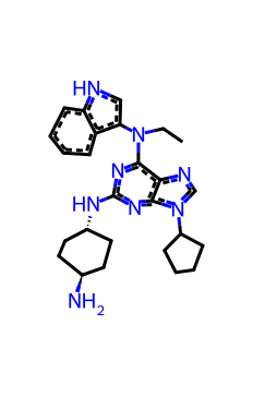 CCN(c1c[nH]c2ccccc12)c1nc(N[C@H]2CC[C@H](N)CC2)nc2c1ncn2C1CCCC1